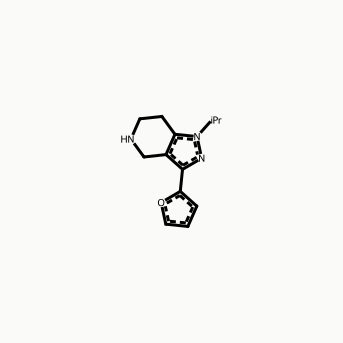 CC(C)n1nc(-c2ccco2)c2c1CCNC2